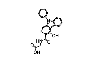 O=C(O)CNC(=O)c1ncc2c(c1O)c1ccccc1n2-c1ccccc1